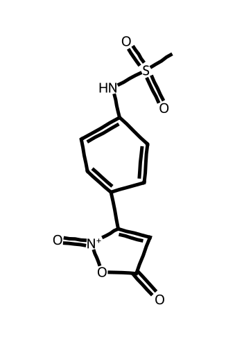 CS(=O)(=O)Nc1ccc(C2=CC(=O)O[N+]2=O)cc1